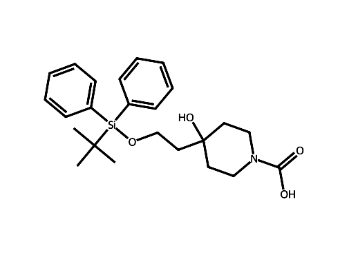 CC(C)(C)[Si](OCCC1(O)CCN(C(=O)O)CC1)(c1ccccc1)c1ccccc1